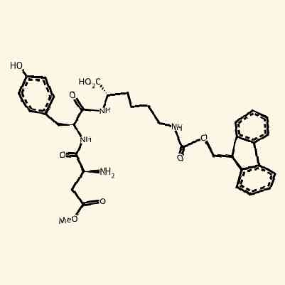 COC(=O)C[C@H](N)C(=O)N[C@@H](Cc1ccc(O)cc1)C(=O)N[C@@H](CCCCNC(=O)OCC1c2ccccc2-c2ccccc21)C(=O)O